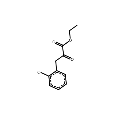 CCOC(=O)C(=O)Cc1ccccc1Cl